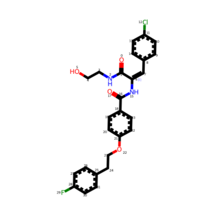 O=C(NCCO)/C(=C\c1ccc(Cl)cc1)NC(=O)c1ccc(OCCc2ccc(F)cc2)cc1